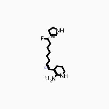 NC1=C(/C=C\CCCCCC(F)[C@@H]2CCNC2)CCCN1